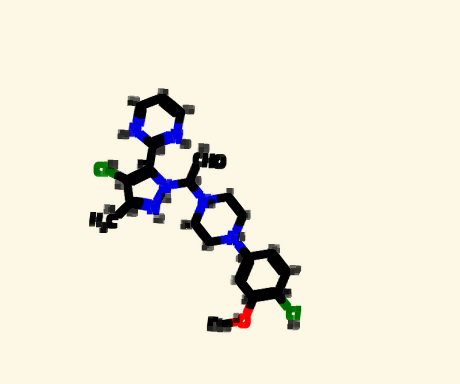 CCOc1cc(N2CCN(C(C=O)n3nc(C)c(Cl)c3-c3ncccn3)CC2)ccc1Cl